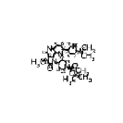 CN(C)c1ccc(-c2ccc3ncc4c(c3n2)n(C2CCN(C(=O)OC(C)(C)C)CC2)c(=O)n4C)cn1